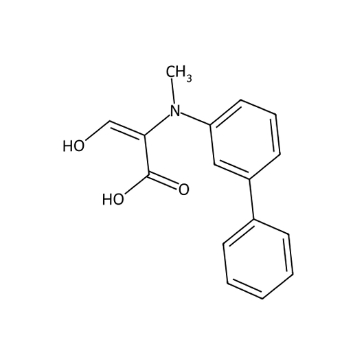 CN(C(=CO)C(=O)O)c1cccc(-c2ccccc2)c1